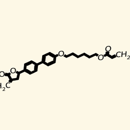 C=CC(=O)OCCCCCCOc1ccc(-c2ccc(C3CC(=C)C(=O)O3)cc2)cc1